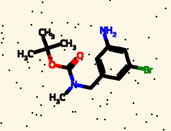 CN(Cc1cc(N)cc(Br)c1)C(=O)OC(C)(C)C